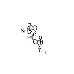 CCn1cnc(=O)c2cc(NC(=O)c3cc(Br)nn3-c3ncccc3Cl)ccc21